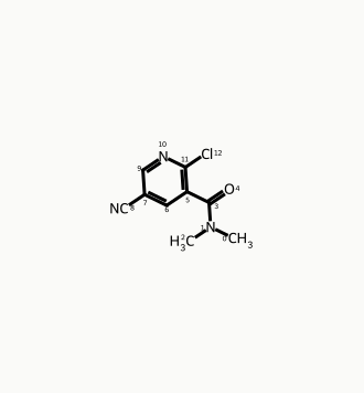 CN(C)C(=O)c1cc(C#N)cnc1Cl